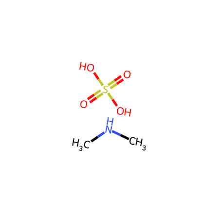 CNC.O=S(=O)(O)O